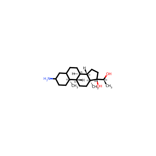 C[C@H](O)[C@@]1(O)CC[C@H]2[C@@H]3CCC4CC(N)CC[C@]4(C)[C@H]3CC[C@@]21C